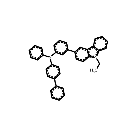 CCn1c2ccccc2c2cc(-c3cccc(N(c4ccccc4)c4ccc(-c5ccccc5)cc4)c3)ccc21